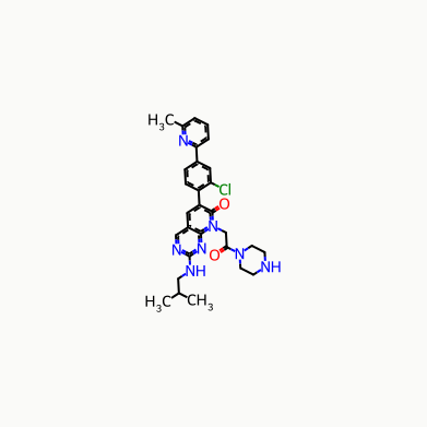 Cc1cccc(-c2ccc(-c3cc4cnc(NCC(C)C)nc4n(CC(=O)N4CCNCC4)c3=O)c(Cl)c2)n1